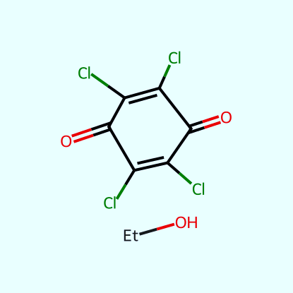 CCO.O=C1C(Cl)=C(Cl)C(=O)C(Cl)=C1Cl